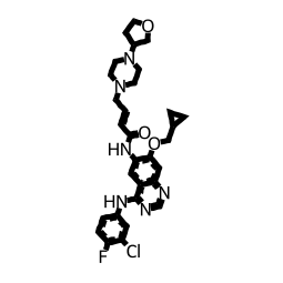 O=C(C=CCN1CCN(C2CCOC2)CC1)Nc1cc2c(Nc3ccc(F)c(Cl)c3)ncnc2cc1OCC1CC1